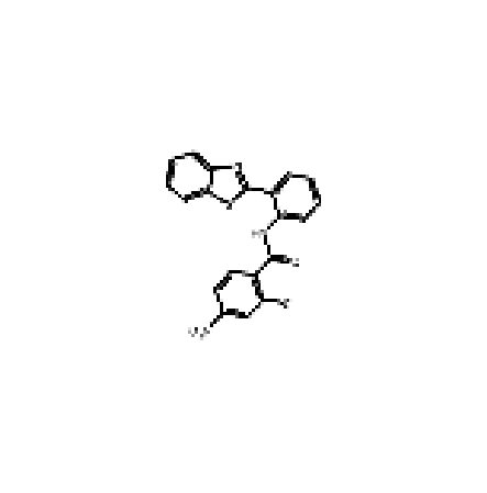 O=C(Nc1ccccc1-c1nc2ccccc2s1)c1ccc([N+](=O)[O-])cc1Cl